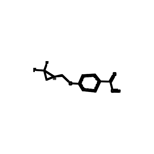 COC(=O)c1ccc(OC[C@H]2CC2(F)F)cc1